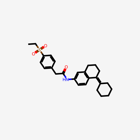 CCS(=O)(=O)c1ccc(CC(=O)Nc2ccc3c(c2)CCCC3=C2CCCCC2)cc1